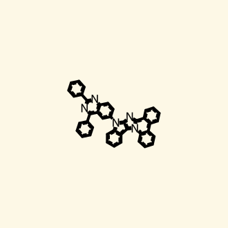 c1ccc(-c2nc(-c3ccccc3)c3cc(-n4c5ccccc5c5c4nc4c6ccccc6c6ccccc6n45)ccc3n2)cc1